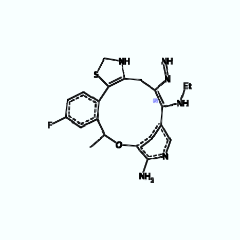 CCN/C1=C(\N=N)CC2=C(SCN2)c2ccc(F)cc2C(C)Oc2cc1cnc2N